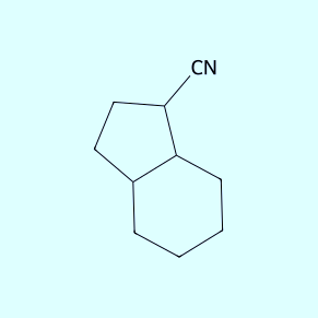 N#CC1CCC2CCCCC12